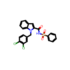 O=C(NS(=O)(=O)c1ccccc1)c1cc2ccccc2n1Cc1ccc(Cl)c(Cl)c1